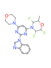 CC1OC(F)C(F)N(c2cc(N3CCOCC3)nc(-n3cnc4ccccc43)n2)C1F